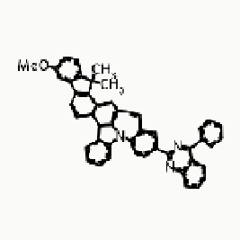 COc1ccc2c(c1)C1=C(C3=CC4=C5C(c6ccccc6N5c5ccc(-c6nc(-c7ccccc7)c7ccccc7n6)cc5C=C4)C3C=C1)C2(C)C